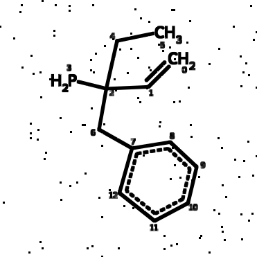 C=CC(P)(CC)Cc1ccccc1